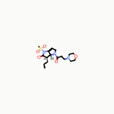 CCC[C@H]1C(=O)N(S(C)(=O)=O)C2=CCN(C(=O)CCN3CCOCC3)[C@@H]21